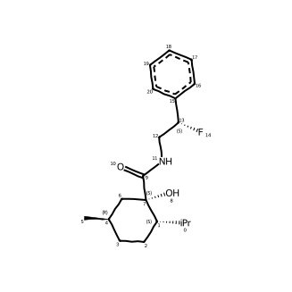 CC(C)[C@@H]1CC[C@@H](C)C[C@@]1(O)C(=O)NC[C@@H](F)c1ccccc1